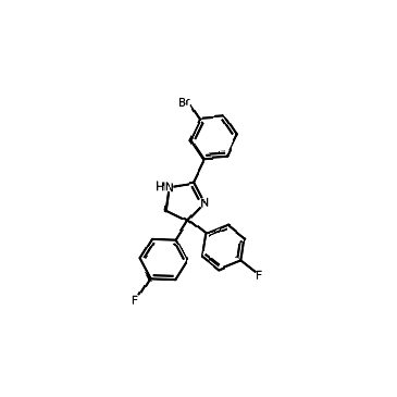 Fc1ccc(C2(c3ccc(F)cc3)CNC(c3cccc(Br)c3)=N2)cc1